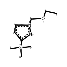 CCOCn1ccc([Si](C)(C)C)n1